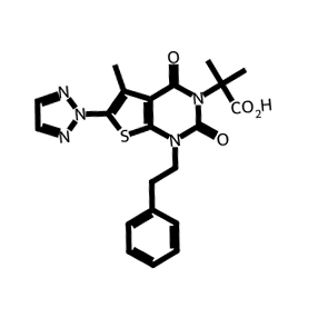 Cc1c(-n2nccn2)sc2c1c(=O)n(C(C)(C)C(=O)O)c(=O)n2CCc1ccccc1